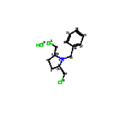 Cl.ClC[C@@H]1CC[C@H](CCl)N1Cc1ccccc1